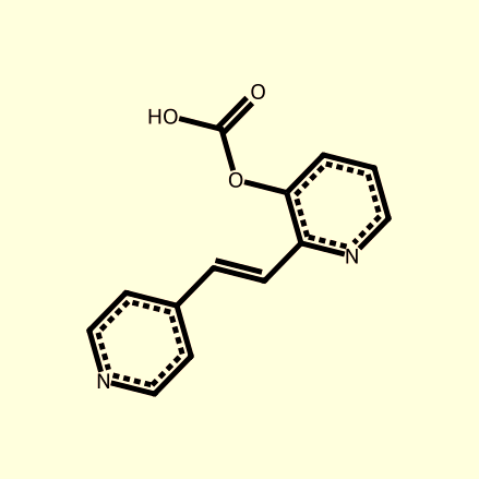 O=C(O)Oc1cccnc1C=Cc1ccncc1